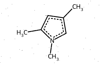 Cc1[c]c(C)n(C)c1